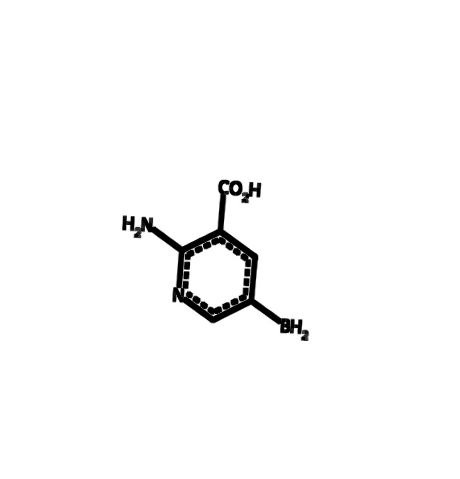 Bc1cnc(N)c(C(=O)O)c1